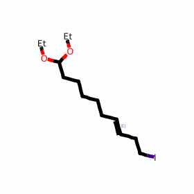 CCOC(CCCCC/C=C/CCI)OCC